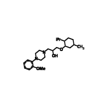 COc1ccccc1N1CCN(CC(O)COC2CC(C)CCC2C(C)C)CC1